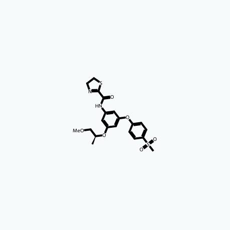 COC[C@H](C)Oc1cc(NC(=O)C2=NCCS2)cc(Oc2ccc(S(C)(=O)=O)cc2)c1